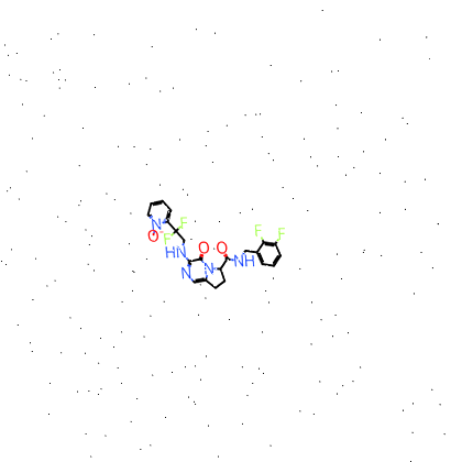 O=C(NCc1cccc(F)c1F)C1CCc2cnc(NCC(F)(F)c3cccc[n+]3[O-])c(=O)n21